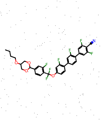 CCCCOC1COC(c2ccc(C(F)(F)Oc3ccc(-c4ccc(-c5cc(F)c(C#N)c(F)c5)c(F)c4)c(F)c3)c(F)c2)OC1